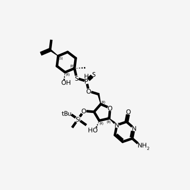 C=C(C)[C@H]1CC[C@@](C)(S[PH](=S)OC[C@H]2O[C@@H](n3ccc(N)nc3=O)[C@H](O)C2O[Si](C)(C)C(C)(C)C)[C@H](O)C1